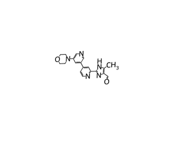 Cc1[nH]c(-c2cc(-c3cncc(N4CCOCC4)c3)ccn2)nc1C=O